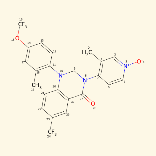 Cc1c[n+]([O-])ccc1N1CN(c2ccc(OC(F)(F)F)cc2C)c2ccc(C(F)(F)F)cc2C1=O